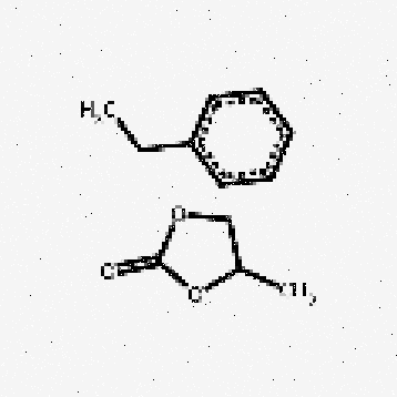 CC1COC(=O)O1.CCc1ccccc1